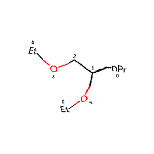 CCC[C](COCC)OCC